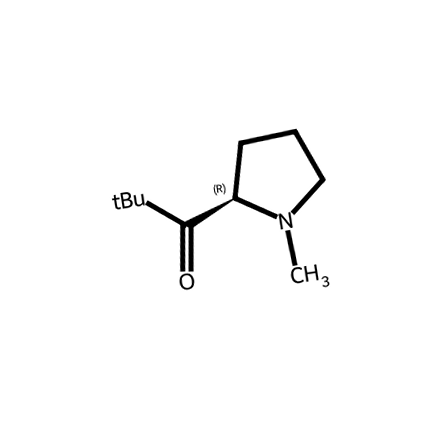 CN1CCC[C@@H]1C(=O)C(C)(C)C